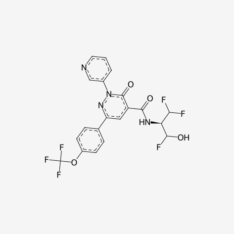 O=C(N[C@H](C(O)F)C(F)F)c1cc(-c2ccc(OC(F)(F)F)cc2)nn(-c2cccnc2)c1=O